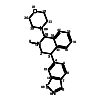 CN1CC(c2ccc3cnsc3c2)c2ccccc2C1N1CCOCC1